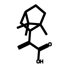 C=C(C(=O)O)C1CC2CCC1(C)C2(C)C